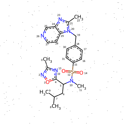 Cc1noc(C(CC(C)C)N(C)S(=O)(=O)c2ccc(Cn3c(C)nc4cnccc43)cc2)n1